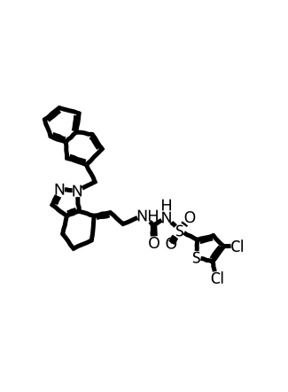 O=C(NCC=C1CCCc2cnn(Cc3ccc4ccccc4c3)c21)NS(=O)(=O)c1cc(Cl)c(Cl)s1